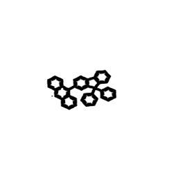 [c]1c2ccccc2c(-c2ccc3c(c2)C(c2ccccc2)(c2ccccc2)c2ccccc2-3)c2ccccc12